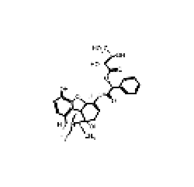 Cc1ccc(O)c2c1[C@]13CCN(C)[C@H](C)[C@]1(O)CC=C(OC(=O)[C@@H](OC(=O)[C@H](O)[C@@H](O)C(=O)O)c1ccccc1)[C@@H]3O2